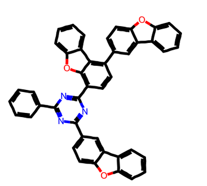 c1ccc(-c2nc(-c3ccc4oc5ccccc5c4c3)nc(-c3ccc(-c4ccc5oc6ccccc6c5c4)c4c3oc3ccccc34)n2)cc1